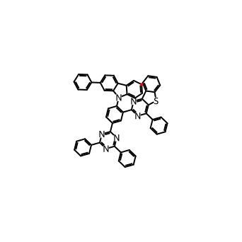 c1ccc(-c2ccc3c4ccccc4n(-c4ccc(-c5nc(-c6ccccc6)nc(-c6ccccc6)n5)cc4-c4nc(-c5ccccc5)c5sc6ccccc6c5n4)c3c2)cc1